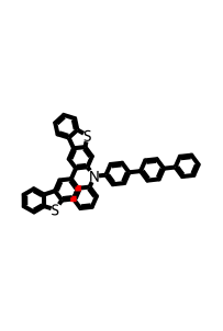 c1ccc(-c2ccc(-c3ccc(N(c4ccccc4)c4cc5sc6ccccc6c5cc4-c4ccc5sc6ccccc6c5c4)cc3)cc2)cc1